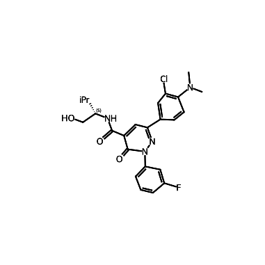 CC(C)[C@@H](CO)NC(=O)c1cc(-c2ccc(N(C)C)c(Cl)c2)nn(-c2cccc(F)c2)c1=O